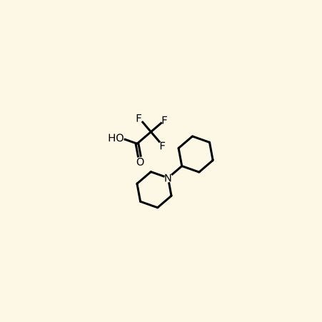 C1CCC(N2CCCCC2)CC1.O=C(O)C(F)(F)F